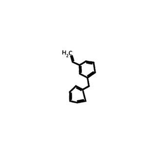 C=Cc1cccc(Cc2ccccc2)c1